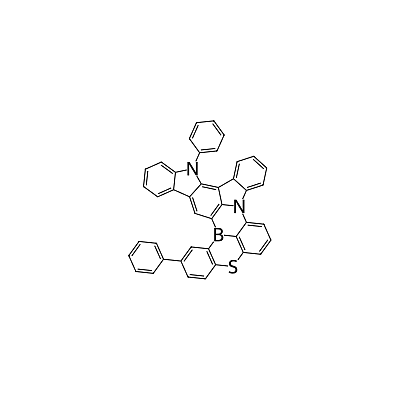 c1ccc(-c2ccc3c(c2)B2c4c(cccc4-n4c5ccccc5c5c4c2cc2c4ccccc4n(-c4ccccc4)c25)S3)cc1